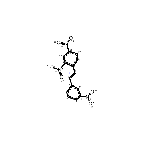 O=[N+]([O-])c1cccc(/C=C/c2ccc([N+](=O)[O-])cc2[N+](=O)[O-])c1